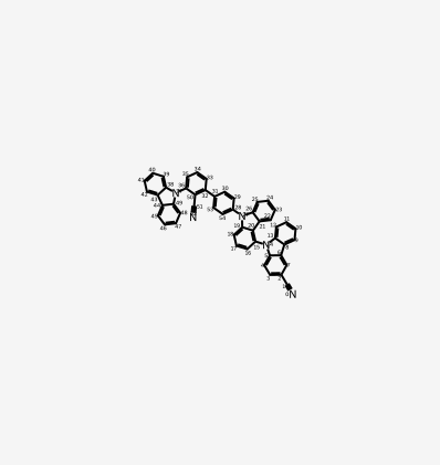 N#Cc1ccc2c(c1)c1ccccc1n2-c1cccc2c1c1ccccc1n2-c1ccc(-c2cccc(-n3c4ccccc4c4ccccc43)c2C#N)cc1